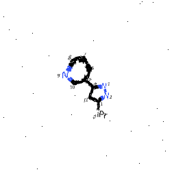 CC(C)C1=NN=C(c2cccnc2)C1